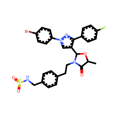 CC1OC(c2cn(-c3ccc(Br)cc3)nc2-c2ccc(F)cc2)N(CCc2ccc(CN[SH](=O)=O)cc2)C1=O